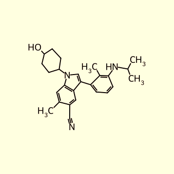 Cc1cc2c(cc1C#N)c(-c1cccc(NC(C)C)c1C)cn2C1CCC(O)CC1